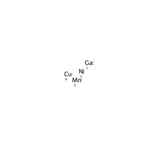 [Cu].[Ga].[Mn].[Ni]